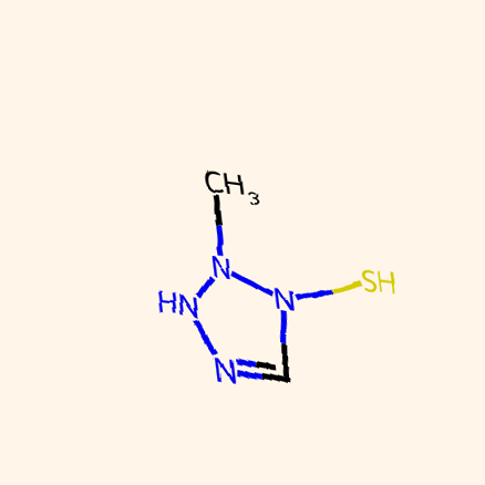 CN1NN=CN1S